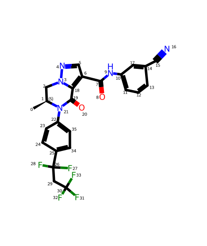 C[C@H]1Cn2ncc(C(=O)Nc3cccc(C#N)c3)c2C(=O)N1c1ccc(C(F)(F)CC(F)(F)F)cc1